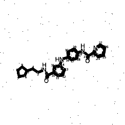 O=C(NCCC1CCCC1)c1cccc(Nc2ccc(NC(=O)c3ccccn3)cc2)c1